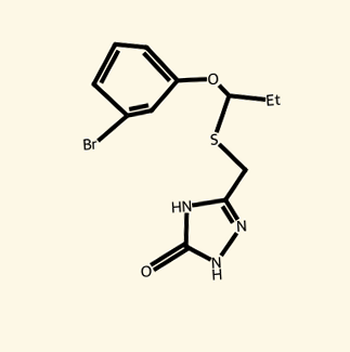 CCC(Oc1cccc(Br)c1)SCc1n[nH]c(=O)[nH]1